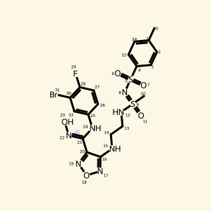 Cc1ccc(S(=O)(=O)N=S(C)(=O)NCCNc2nonc2/C(=N/O)Nc2ccc(F)c(Br)c2)cc1